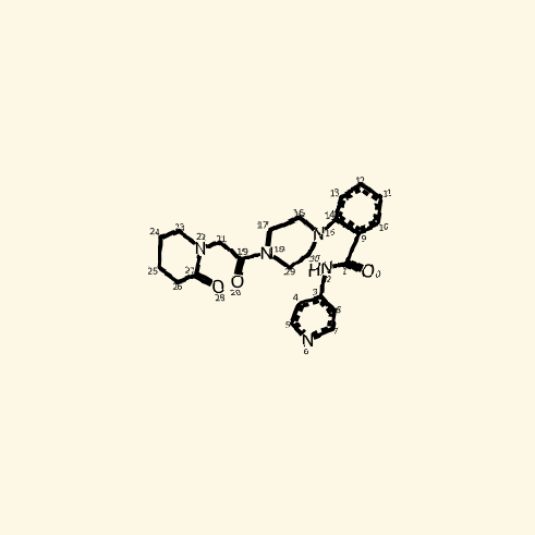 O=C(Nc1ccncc1)c1ccccc1N1CCN(C(=O)CN2CCCCC2=O)CC1